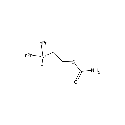 CCC[N+](CC)(CCC)CCSC(N)=O